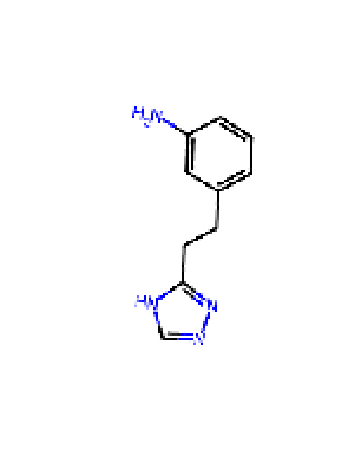 Nc1cccc(CCc2nnc[nH]2)c1